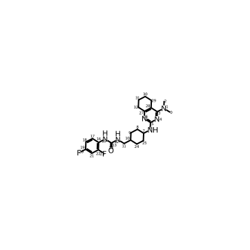 CN(C)c1nc(NC2CCC(CNC(=O)Nc3ccc(F)cc3F)CC2)nc2c1CCCC2